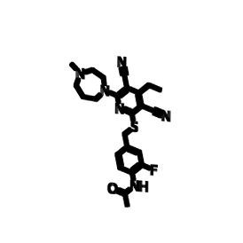 CCc1c(C#N)c(SCc2ccc(NC(C)=O)c(F)c2)nc(N2CCCN(C)CC2)c1C#N